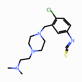 CN(C)CCN1CCN(Cc2cc(N=C=S)ccc2Cl)CC1